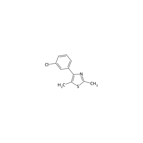 [CH2]c1sc(C)nc1-c1cccc(Cl)c1